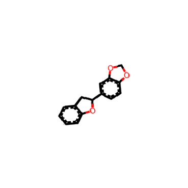 [c]1ccc2c(c1)OC(c1ccc3c(c1)OCO3)C2